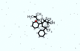 C=C(C)C(=O)OC1(C2CCCCC2)CC(C2CCCCC2)(C(F)(F)F)OC(O)(C(F)(F)F)C1(F)F